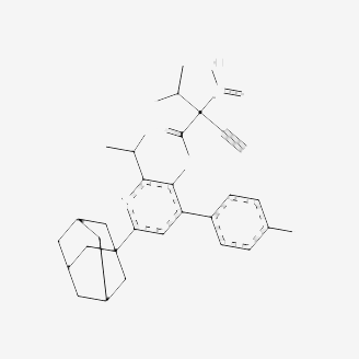 C#CC(C(=O)Oc1c(-c2ccc(F)cc2)cc(C23CC4CC(CC(C4)C2)C3)nc1C(C)C)(C(C)O)[PH](=O)O